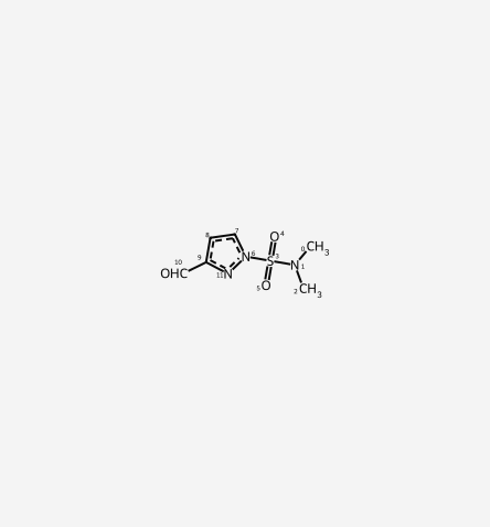 CN(C)S(=O)(=O)n1ccc(C=O)n1